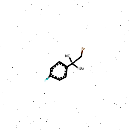 CCCCC(C#N)(CBr)c1ccc(F)cc1